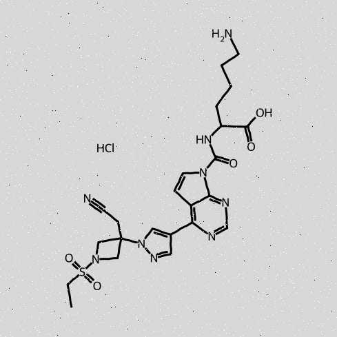 CCS(=O)(=O)N1CC(CC#N)(n2cc(-c3ncnc4c3ccn4C(=O)NC(CCCCN)C(=O)O)cn2)C1.Cl